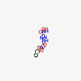 O=C(NO)c1cnc(NCC2CN(S(=O)(=O)c3ccc4ccccc4c3)CCO2)nc1